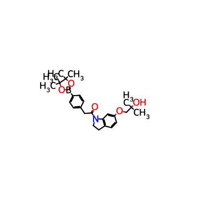 CC(C)(O)COc1ccc2c(c1)N(C(=O)Cc1ccc(B3OC(C)(C)C(C)(C)O3)cc1)CC2